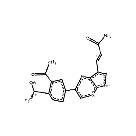 CC(=O)c1cc(-c2cnc3[nH]cc(/C=C/C(N)=O)c3n2)ccc1[C@@H](C)O